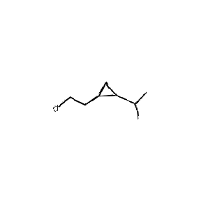 CC(C)C1CC1CCCl